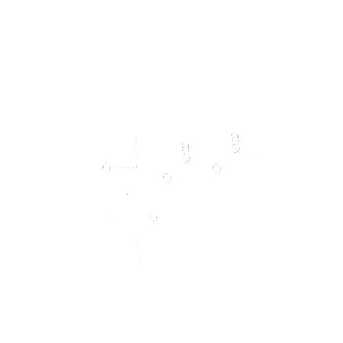 CC1CC2(O1)OC2(C)O[SiH2]O[SiH](C)C